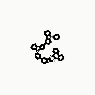 c1ccc(-n2c3ccccc3c3cc(-c4ccc5c(c4)c4ccccc4n5-c4cccc(-c5ccc6sc7nc8c9ccccc9c9ccccc9c8nc7c6c5)c4)ccc32)cc1